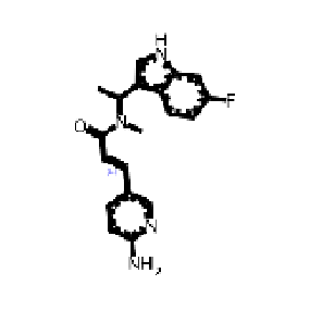 CC(c1c[nH]c2cc(F)ccc12)N(C)C(=O)/C=C/c1ccc(N)nc1